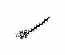 CCCCCCCCCCCCCCCCS(=O)(=O)N1CCNCC1